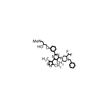 CNCC(O)COc1cccc(-c2nc(-c3c(C)noc3C)c(C)c(N3CCN(Cc4ccccc4)C(C(F)F)C3)n2)c1